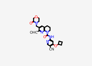 N#Cc1cnc(NC(=O)N2CCCc3cc(CN4CCOCC4=O)c(C=O)nc32)cc1OC1CCC1